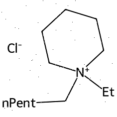 CCCCCC[N+]1(CC)CCCCC1.[Cl-]